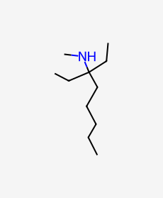 CCCCCC(CC)(CC)NC